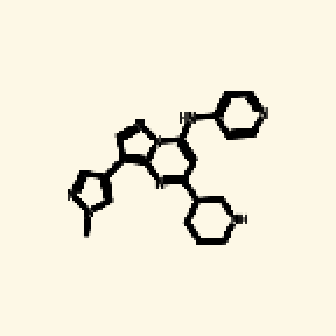 Cn1cc(-c2cnn3c(Nc4ccncc4)cc(C4CCCNC4)nc23)cn1